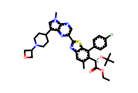 CCOC(=O)[C@@H](OC(C)(C)C)c1c(C)cc2nc(-c3cnc4c(n3)c(C3CCN(C5COC5)CC3)cn4C)sc2c1-c1ccc(Cl)cc1